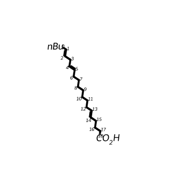 CCCCC=CCC=CCCCCCCCC=CCCCC(=O)O